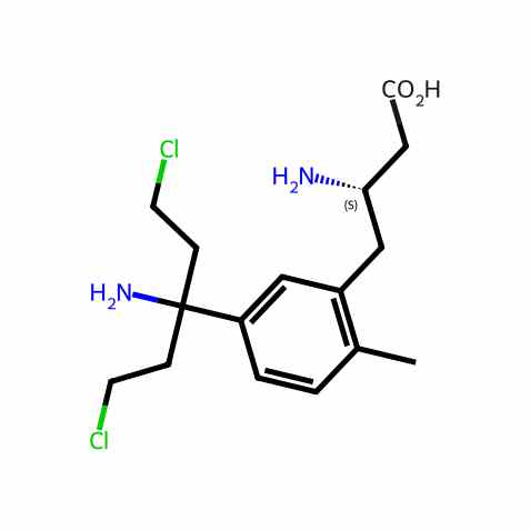 Cc1ccc(C(N)(CCCl)CCCl)cc1C[C@H](N)CC(=O)O